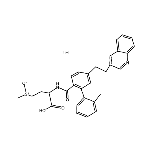 Cc1ccccc1-c1cc(CCc2cnc3ccccc3c2)ccc1C(=O)NC(CC[S+](C)[O-])C(=O)O.[LiH]